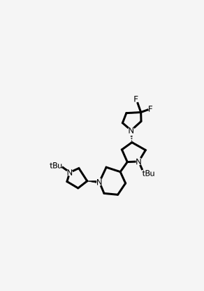 CC(C)(C)N1CC[C@H](N2CCCC(C3C[C@H](N4CCC(F)(F)C4)CN3C(C)(C)C)C2)C1